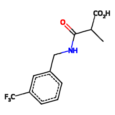 CC(C(=O)O)C(=O)NCc1cccc(C(F)(F)F)c1